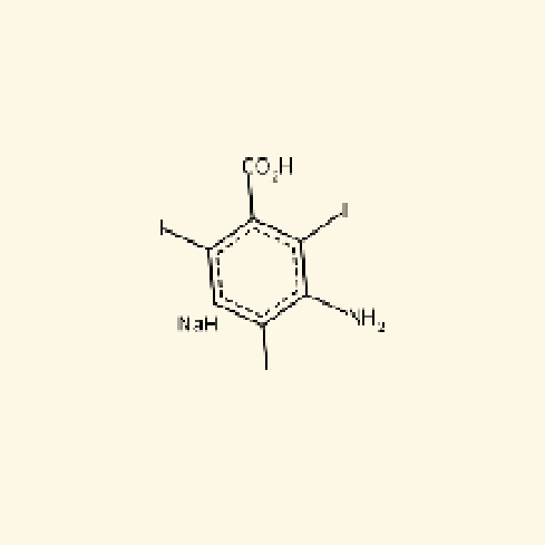 Nc1c(I)cc(I)c(C(=O)O)c1I.[NaH]